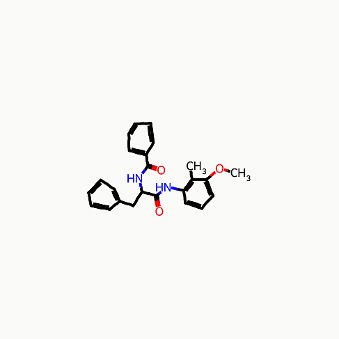 COc1cccc(NC(=O)C(Cc2ccccc2)NC(=O)c2ccccc2)c1C